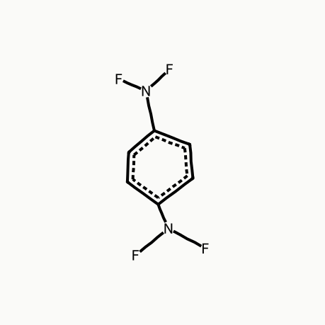 FN(F)c1ccc(N(F)F)cc1